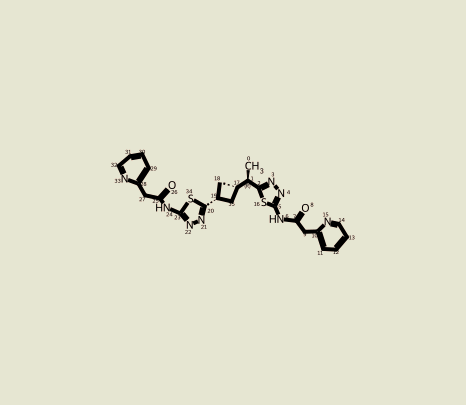 C[C@@H](c1nnc(NC(=O)Cc2ccccn2)s1)[C@H]1C[C@@H](c2nnc(NC(=O)Cc3ccccn3)s2)C1